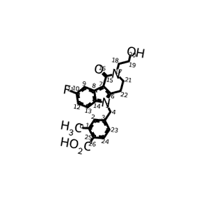 Cc1cc(Cn2c3c(c4cc(F)ccc42)C(=O)N(CCO)CC3)ccc1C(=O)O